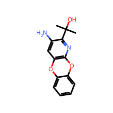 CC(C)(O)c1nc2c(cc1N)Oc1ccccc1O2